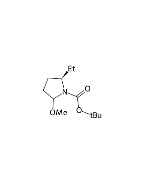 CC[C@@H]1CCC(OC)N1C(=O)OC(C)(C)C